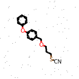 N#CSCCCOCc1ccc(Oc2ccccc2)cc1